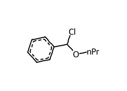 CCCOC(Cl)c1ccccc1